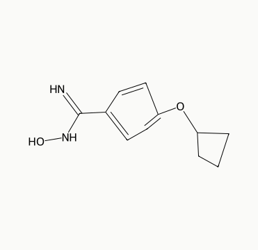 N=C(NO)c1ccc(OC2CCC2)cc1